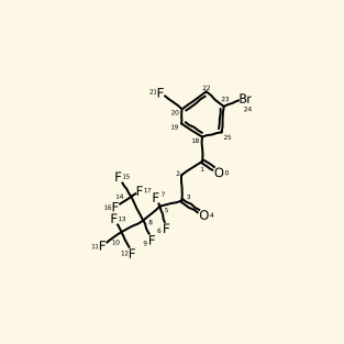 O=C(CC(=O)C(F)(F)C(F)(C(F)(F)F)C(F)(F)F)c1cc(F)cc(Br)c1